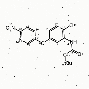 CC(C)(C)OC(=O)Nc1cc(Oc2ccc([N+](=O)[O-])nc2)ccc1Cl